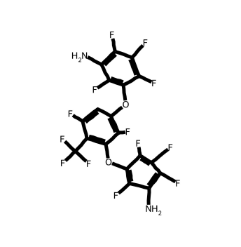 Nc1c(F)c(F)c(F)c(Oc2cc(F)c(C(F)(F)F)c(Oc3c(F)c(N)c(F)c(F)c3F)c2F)c1F